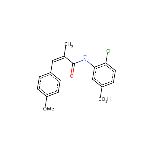 COc1ccc(C=C(C)C(=O)Nc2cc(C(=O)O)ccc2Cl)cc1